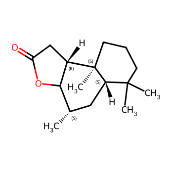 C[C@H]1C[C@H]2C(C)(C)CCC[C@]2(C)[C@H]2CC(=O)OC12